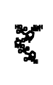 C1CSCS1.CC1(C)C2CCC1(CS(=O)(=O)O)C(=O)C2.CC1(C)C2CCC1(CS(=O)(=O)O)C(=O)C2.[NaH].[NaH].[Ni]